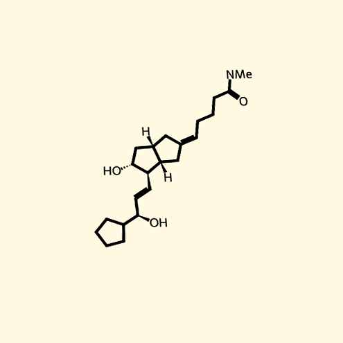 CNC(=O)CCC/C=C1\C[C@H]2C[C@@H](O)[C@H](/C=C/[C@@H](O)C3CCCC3)[C@H]2C1